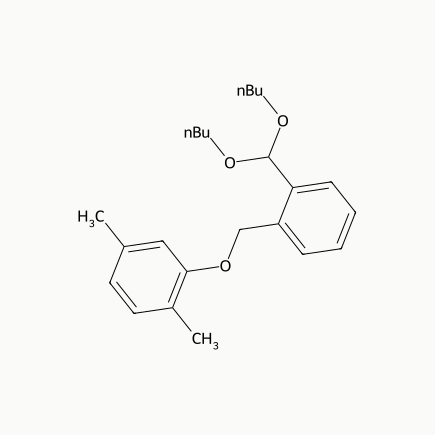 CCCCOC(OCCCC)c1ccccc1COc1cc(C)ccc1C